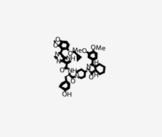 COc1ccc(C2=NN(C3CCN(C(=O)[C@@H](Cc4ccc(O)cc4)NC(=O)c4c[nH]c5c(-c6c(OCC7CC7)ccc7c6OCO7)ncnc45)CC3)C(=O)[C@@H]3CCCC[C@H]23)cc1OC